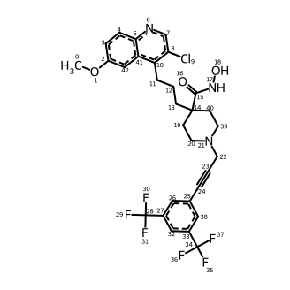 COc1ccc2ncc(Cl)c(CCCC3(C(=O)NO)CCN(CC#Cc4cc(C(F)(F)F)cc(C(F)(F)F)c4)CC3)c2c1